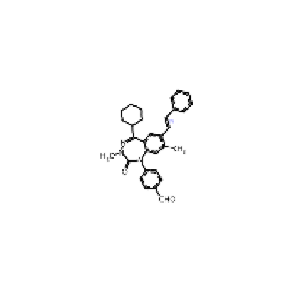 Cc1cc2c(cc1/C=C/c1ccccc1)C(C1CCCCC1)=NN(C)C(=O)N2c1ccc(C=O)cc1